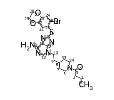 CCCC(=O)N1CCC(CCn2cnc(N)c3nc(Sc4cc5c(cc4Br)OCCO5)nc2-3)CC1